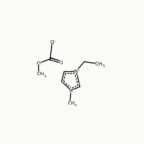 CC[n+]1ccn(C)c1.COC(=O)[O-]